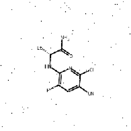 CC[C@@H](Nc1nc(Cl)c(C#N)cc1F)C(N)=O